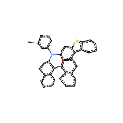 Cc1cccc(N(c2ccc3c(c2)sc2ccccc23)c2ccc3ccccc3c2-c2cccc3ccccc23)c1